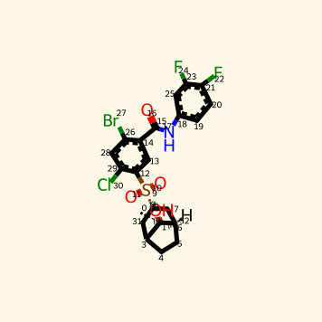 C[C@@]1(O)C2CC[C@@H]1C[C@@H](S(=O)(=O)c1cc(C(=O)Nc3ccc(F)c(F)c3)c(Br)cc1Cl)C2